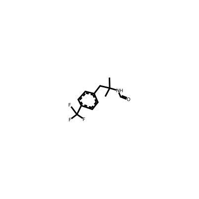 CC(C)(Cc1ccc(C(F)(F)F)cc1)NC=O